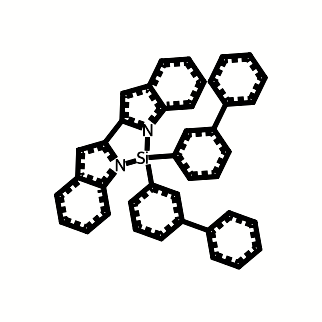 c1ccc(-c2cccc([Si]3(c4cccc(-c5ccccc5)c4)n4c(cc5ccccc54)-c4cc5ccccc5n43)c2)cc1